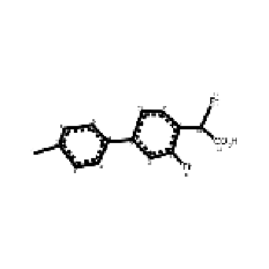 CCc1cc(-c2ccc(C)cc2)ccc1C(CC)C(=O)O